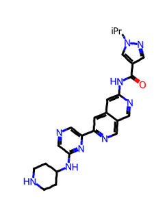 CC(C)n1cc(C(=O)Nc2cc3cc(-c4cncc(NC5CCNCC5)n4)ncc3cn2)cn1